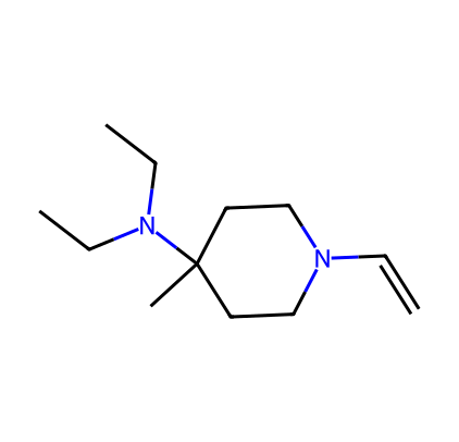 C=CN1CCC(C)(N(CC)CC)CC1